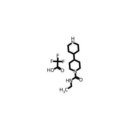 CCNC(=O)N1CCC(C2CCNCC2)CC1.O=C(O)C(F)(F)F